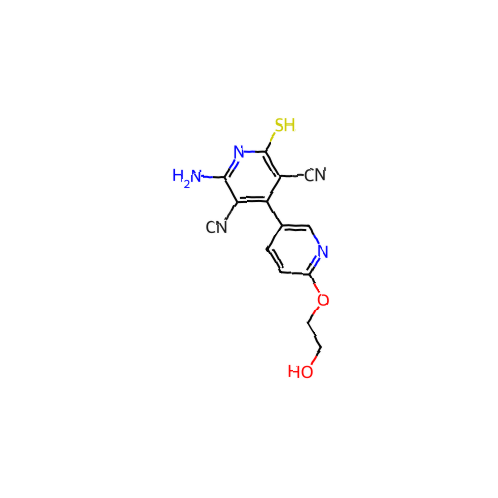 [C-]#[N+]c1c(N)nc(S)c(C#N)c1-c1ccc(OCCO)nc1